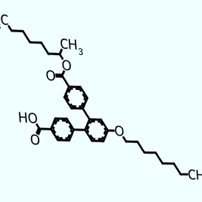 CCCCCCCCOc1ccc(-c2ccc(C(=O)O)cc2)c(-c2ccc(C(=O)OC(C)CCCCCC)cc2)c1